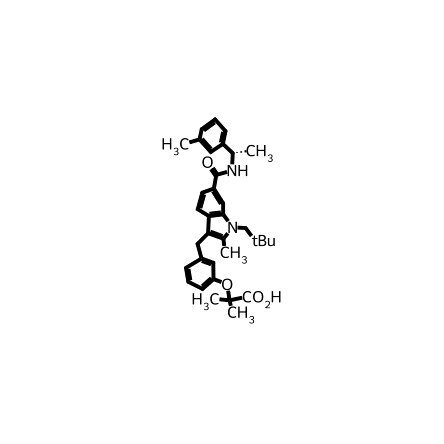 Cc1cccc([C@H](C)NC(=O)c2ccc3c(Cc4cccc(OC(C)(C)C(=O)O)c4)c(C)n(CC(C)(C)C)c3c2)c1